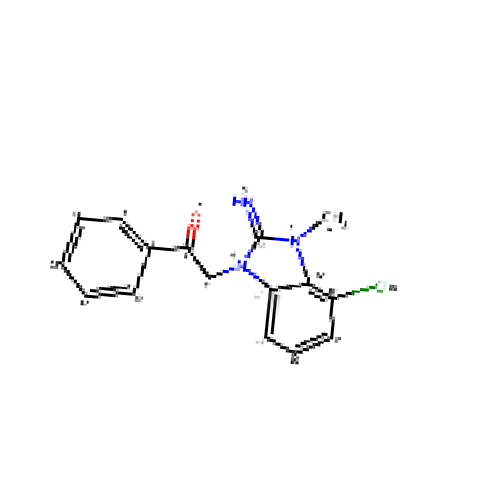 Cn1c(=N)n(CC(=O)c2ccccc2)c2cccc(Cl)c21